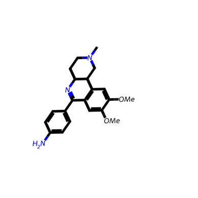 COc1cc2c(cc1OC)C1CN(C)CCC1N=C2c1ccc(N)cc1